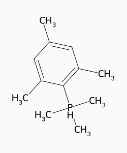 Cc1cc(C)c([PH](C)(C)C)c(C)c1